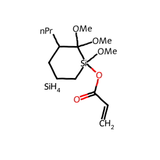 C=CC(=O)O[Si]1(OC)CCCC(CCC)C1(OC)OC.[SiH4]